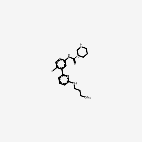 COCCCNc1cccc(-c2cc(NC(=O)[C@@H]3CCCNC3)ncc2Cl)n1